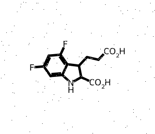 O=C(O)CCC1c2c(F)cc(F)cc2NC1C(=O)O